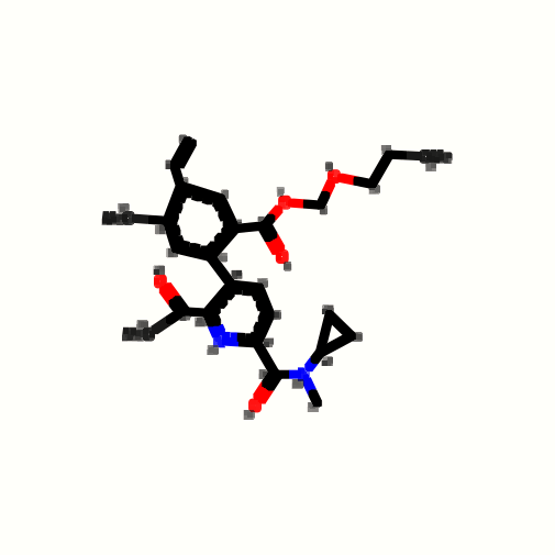 C=Cc1cc(C(=O)OCOCCOC)c(-c2ccc(C(=O)N(C)C3CC3)nc2C(=O)OC)cc1OC